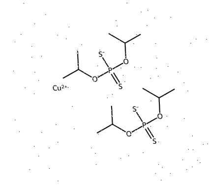 CC(C)OP(=S)([S-])OC(C)C.CC(C)OP(=S)([S-])OC(C)C.[Cu+2]